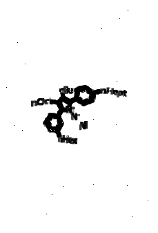 CCCCCCCCC1=C(c2cccc(CCCCCC)c2)[N+](=[N-])C(c2ccc(CCCCCCC)cc2)=C1CCCC.[Ni]